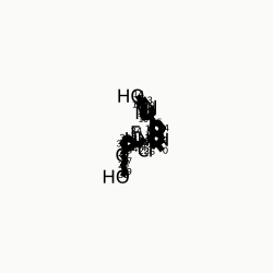 Cc1nc2ccc(-c3cnc(C(C)(C)O)nc3)cc2c(N[C@H](C)c2cc(OCCCO)ccc2F)c1Cl